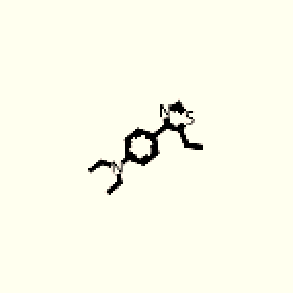 CCc1s[c]nc1-c1ccc(N(CC)CC)cc1